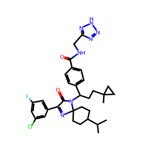 CC(C)C1CCC2(CC1)N=C(c1cc(F)cc(Cl)c1)C(=O)N2C(CCC1(C)CC1)c1ccc(C(=O)NCc2nn[nH]n2)cc1